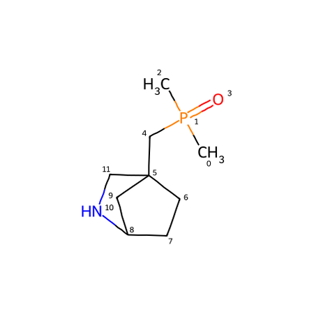 CP(C)(=O)CC12CCC(C1)NC2